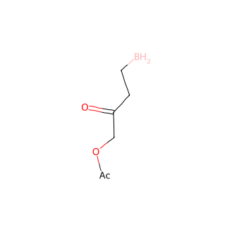 BCCC(=O)COC(C)=O